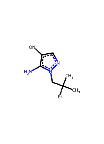 CCC(C)(C)Cn1ncc(N=O)c1N